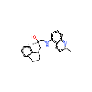 Cc1ccc2c(NCC(O)(CC3CCCc4ccccc43)C(F)(F)F)cccc2n1